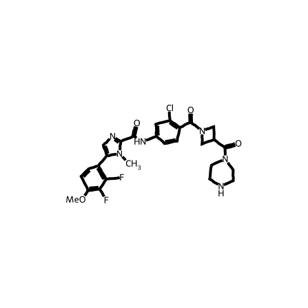 COc1ccc(-c2cnc(C(=O)Nc3ccc(C(=O)N4CC(C(=O)N5CCNCC5)C4)c(Cl)c3)n2C)c(F)c1F